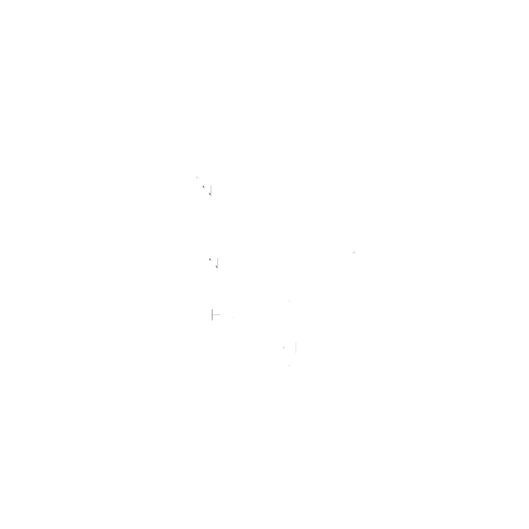 CC1(C)CCCc2cncnc21